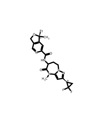 CC[C@]1(C)OCc2cnc(C(=O)NC3CCn4nc([C@H]5CC5(F)F)cc4N(C)C3=O)cc21